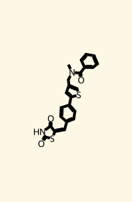 CN(Cc1csc(-c2ccc(C=C3SC(=O)NC3=O)cc2)c1)C(=O)c1ccccc1